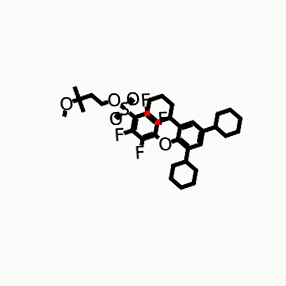 COC(C)(C)CCOS(=O)(=O)c1c(F)c(F)c(Oc2c(C3CCCCC3)cc(C3CCCCC3)cc2C2CCCCC2)c(F)c1F